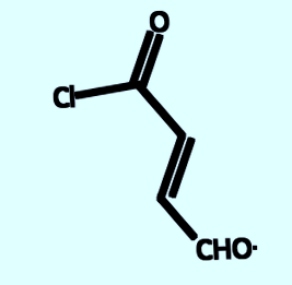 O=[C]C=CC(=O)Cl